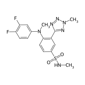 CNS(=O)(=O)c1ccc(N(C)c2ccc(F)c(F)c2)c(-c2nnn(C)n2)c1